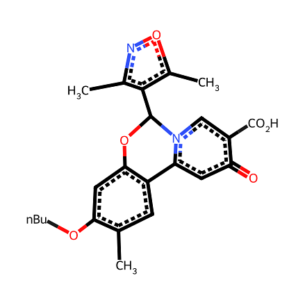 CCCCOc1cc2c(cc1C)-c1cc(=O)c(C(=O)O)cn1C(c1c(C)noc1C)O2